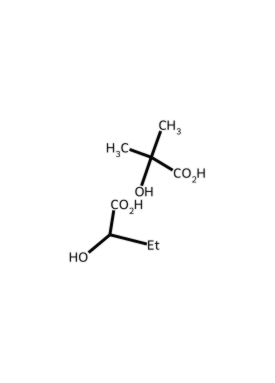 CC(C)(O)C(=O)O.CCC(O)C(=O)O